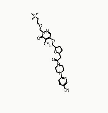 C[Si](C)(C)CCOCn1ncc(OCC2CCC(CC(=O)N3CCN(c4ccc(C#N)cn4)CC3)O2)c(C(F)(F)F)c1=O